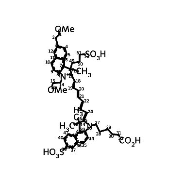 COCCc1ccc2c3c(ccc2c1)[N+](CCOC)=C(/C=C/C=C/C=C/C=C1/N(CCCCCC(=O)O)c2ccc4cc(S(=O)(=O)O)ccc4c2C1(C)C)C3(C)CCCS(=O)(=O)O